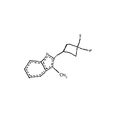 Cn1c(C2CC(F)(F)C2)nc2ccccc21